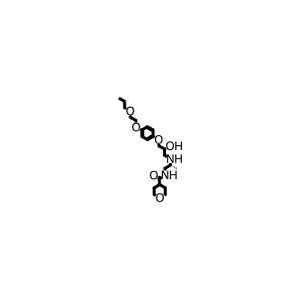 CCCOCCOc1ccc(OCC(O)CN[C@H](C)CNC(=O)C2CCOCC2)cc1